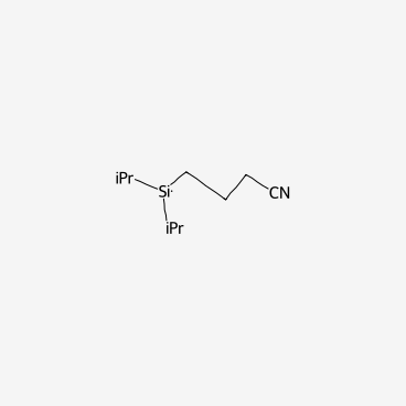 CC(C)[Si](CCCC#N)C(C)C